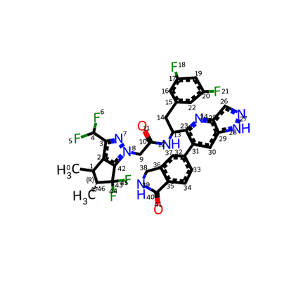 CC1c2c(C(F)F)nn(CC(=O)NC(Cc3cc(F)cc(F)c3)c3nc4cn[nH]c4cc3-c3ccc4c(c3)CNC4=O)c2C(F)(F)[C@@H]1C